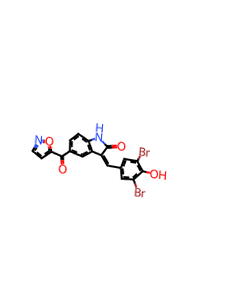 O=C1Nc2ccc(C(=O)c3ccno3)cc2/C1=C/c1cc(Br)c(O)c(Br)c1